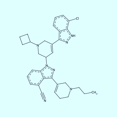 CCCN1CCC=C(c2nn(C3C=C(c4n[nH]c5c(Cl)cccc45)CN(C4CCC4)C3)c3cccc(C#N)c23)C1